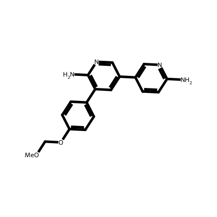 COCOc1ccc(-c2cc(-c3ccc(N)nc3)cnc2N)cc1